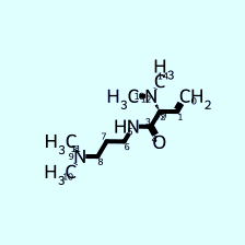 C=C[C@H](C(=O)NCCCN(C)C)N(C)C